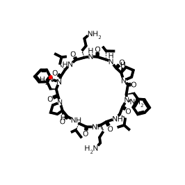 CC(C)C[C@@H]1NC(=O)[C@H](CCCN)NC(=O)[C@H](C(C)C)NC(=O)[C@@H]2CCCN2C(=O)[C@@H](Cc2ccccc2)N(N)C(=O)[C@H](CC(C)C)NC(=O)[C@H](CCCN)NC(=O)[C@H](C(C)C)NC(=O)[C@@H]2CCCN2C(=O)[C@@H](Cc2ccccc2)N(N)C1=O